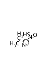 CC(C)c1cc(N(S)C=O)ccn1